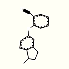 CC1CCc2cc(Oc3ccccc3C#N)ccc21